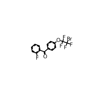 O=C(c1ccc(OC(F)(F)C(F)(F)Br)cc1)c1ccccc1F